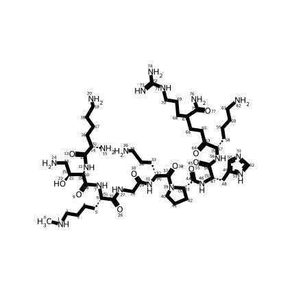 CNCCCC[C@H](NC(=O)[C@@H](NC(=O)[C@@H](N)CCCCN)[C@@H](O)CN)C(=O)NCC(=O)N[C@H](CCCN)C(=O)N1CCC[C@H]1C(=O)N[C@@H](Cc1cnc[nH]1)C(=O)N[C@@H](CCCCN)C(=O)CCC(CCCNC(=N)N)C(N)=O